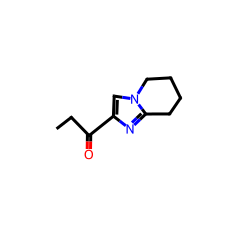 CCC(=O)c1cn2c(n1)CCCC2